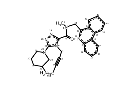 CC#CCn1c(C(=O)N(C)Cc2nc3ccccc3c3ccccc23)nnc1N1CCCC(N)C1